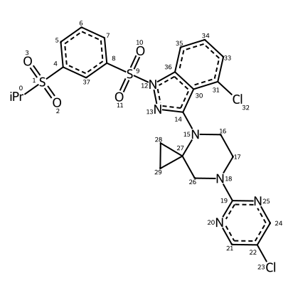 CC(C)S(=O)(=O)c1cccc(S(=O)(=O)n2nc(N3CCN(c4ncc(Cl)cn4)CC34CC4)c3c(Cl)cccc32)c1